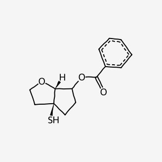 O=C(OC1CC[C@]2(S)CCO[C@H]12)c1ccccc1